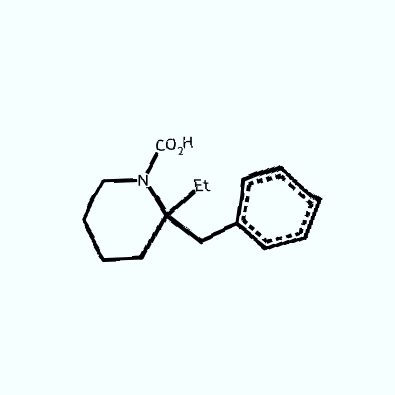 CCC1(Cc2ccccc2)CCCCN1C(=O)O